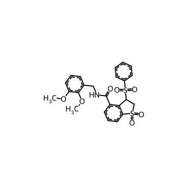 COc1cccc(CNC(=O)c2cccc3c2C(S(=O)(=O)c2ccccc2)CS3(=O)=O)c1OC